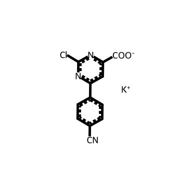 N#Cc1ccc(-c2cc(C(=O)[O-])nc(Cl)n2)cc1.[K+]